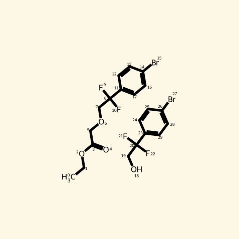 CCOC(=O)COCC(F)(F)c1ccc(Br)cc1.OCC(F)(F)c1ccc(Br)cc1